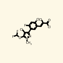 Cn1nc(-c2cc(/C=C(\Cl)C(=O)Cl)c(Cl)cc2F)c(Cl)c1OC(F)F